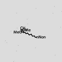 C=C[Si](CCCCCCCCCCCCCCCCCC)(OC)OC